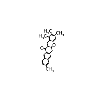 Cc1ccc2cc3c(cc2c1)CC(=O)C(Cc1ccc(C)c(C)c1C)C3=O